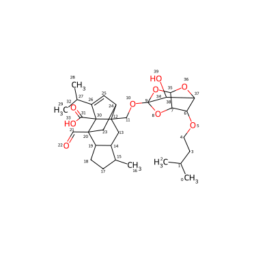 CC(C)CCOC1C2OC3(OCC45CC6C(C)CCC6C6(C=O)CC4C=C(C(C)C)C65C(=O)O)OC2OC1C3O